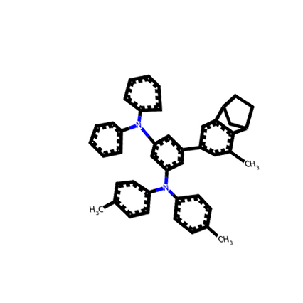 Cc1ccc(N(c2ccc(C)cc2)c2cc(-c3cc(C)c4c(c3)C3CCC4C3)cc(N(c3ccccc3)c3ccccc3)c2)cc1